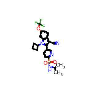 CC(C)NS(=O)(=O)c1ccc(-c2c(C#N)c3ccc(OC(F)(F)F)cc3n2C2CCC2)cn1